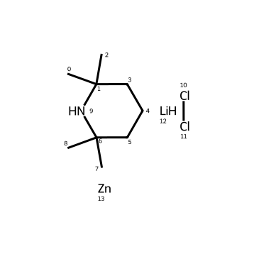 CC1(C)CCCC(C)(C)N1.ClCl.[LiH].[Zn]